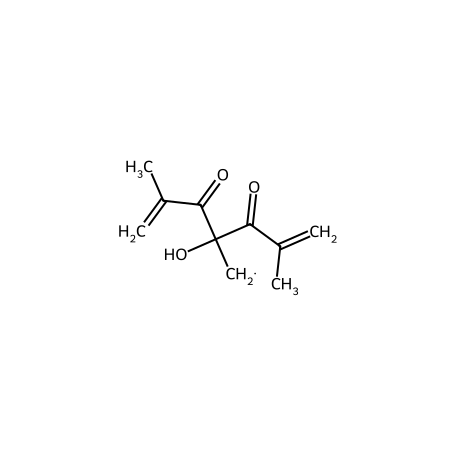 [CH2]C(O)(C(=O)C(=C)C)C(=O)C(=C)C